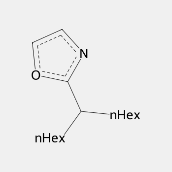 CCCCCCC(CCCCCC)c1ncco1